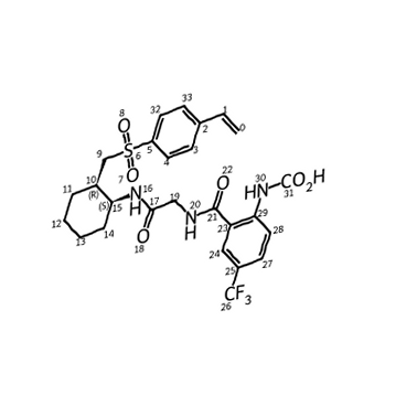 C=Cc1ccc(S(=O)(=O)C[C@@H]2CCCC[C@@H]2NC(=O)CNC(=O)c2cc(C(F)(F)F)ccc2NC(=O)O)cc1